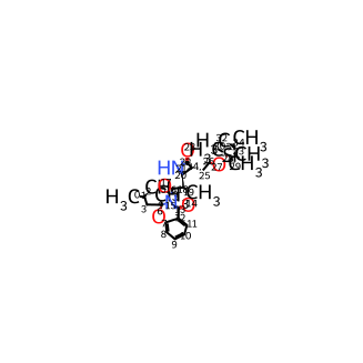 CC(C)CC1(C)Oc2ccccc2C(=O)N1C(=O)C(C)[C@H]1NC(=O)[C@@H]1CCO[Si](C)(C)C(C)(C)C